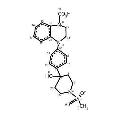 CS(=O)(=O)N1CCC(O)(c2ccc(N3CCN(C(=O)O)c4ccccc43)cc2)CC1